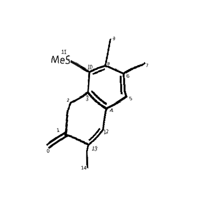 C=C1Cc2c(cc(C)c(C)c2SC)C=C1C